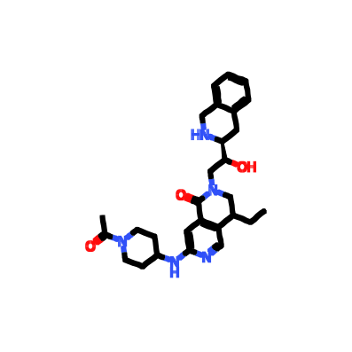 CCC1CN(CC(O)[C@@H]2Cc3ccccc3CN2)C(=O)c2cc(NC3CCN(C(C)=O)CC3)ncc21